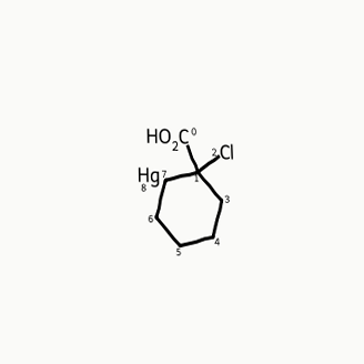 O=C(O)C1(Cl)CCCCC1.[Hg]